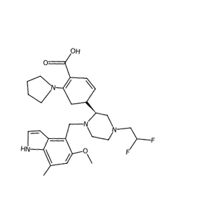 COc1cc(C)c2[nH]ccc2c1CN1CCN(CC(F)F)C[C@@H]1C1C=CC(C(=O)O)=C(N2CCCC2)C1